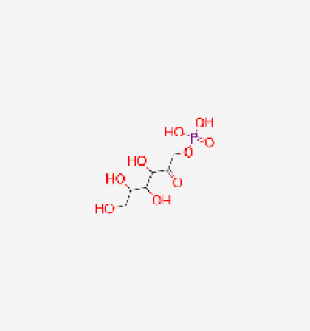 O=C(COP(=O)(O)O)C(O)C(O)C(O)CO